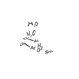 CC(=O)[O-].CC(=O)[O-].O.O.O.[Sr+2]